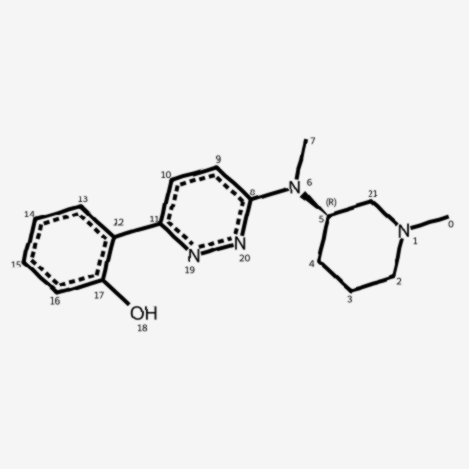 CN1CCC[C@@H](N(C)c2ccc(-c3ccccc3O)nn2)C1